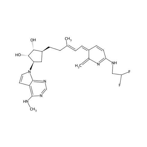 C=c1nc(NCC(F)F)cc/c1=C/C=C(\C)CC[C@H]1C[C@@H](n2ccc3c(NC)ncnc32)[C@H](O)[C@@H]1O